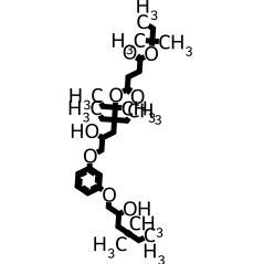 CCC(C)(C)CC(O)COc1cccc(OCC(O)CC(CC)(CC)C(C)(CC)OC(=O)CCC(=O)OC(C)(C)CC)c1